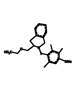 COc1cc(C)c(SN2Cc3ccccc3CC2COCC(=O)O)c(C)c1C